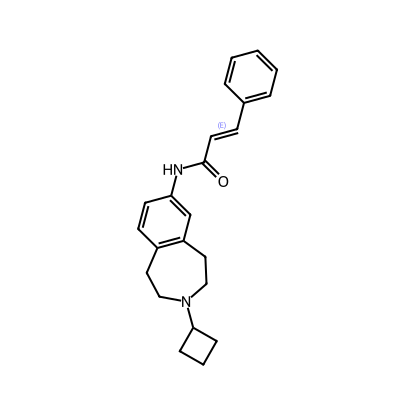 O=C(/C=C/c1ccccc1)Nc1ccc2c(c1)CCN(C1CCC1)CC2